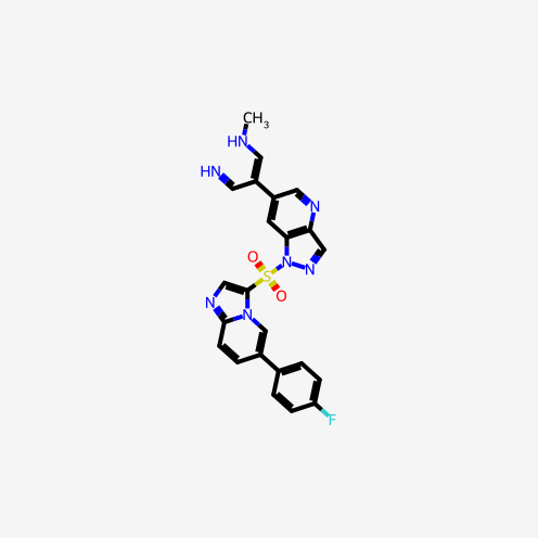 CN/C=C(\C=N)c1cnc2cnn(S(=O)(=O)c3cnc4ccc(-c5ccc(F)cc5)cn34)c2c1